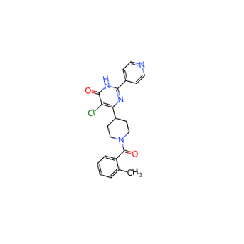 Cc1ccccc1C(=O)N1CCC(c2nc(-c3ccncc3)[nH]c(=O)c2Cl)CC1